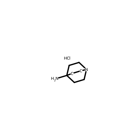 Cl.NC12CCN(CC1)CC2